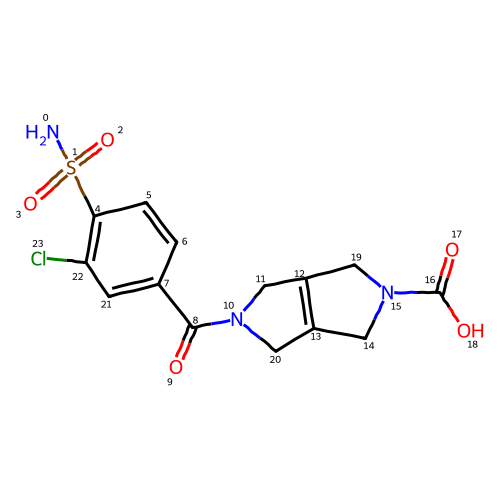 NS(=O)(=O)c1ccc(C(=O)N2CC3=C(CN(C(=O)O)C3)C2)cc1Cl